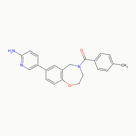 Cc1ccc(C(=O)N2CCOc3ccc(-c4ccc(N)nc4)cc3C2)cc1